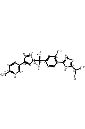 [2H]C([2H])(c1ccc(-c2nnc(C(F)F)o2)c(F)c1)n1cc(-c2ccc(N)nc2)nn1